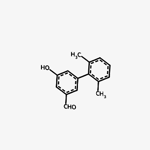 Cc1cccc(C)c1-c1cc(O)cc(C=O)c1